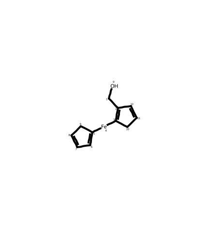 OCC1=[C]([Fe][C]2=CC=CC2)CC=C1